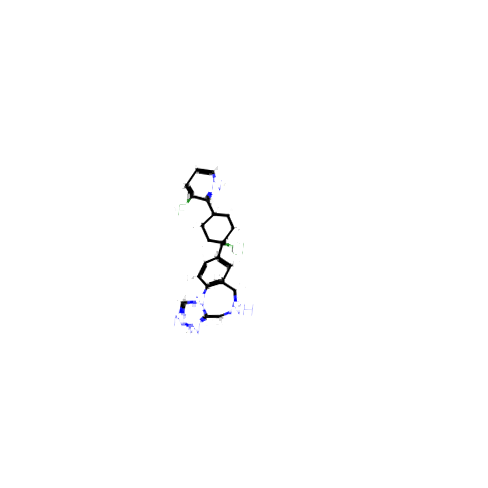 Fc1cccnc1C1CCC(Cl)(c2ccc3c(c2)CNCc2nncn2-3)CC1